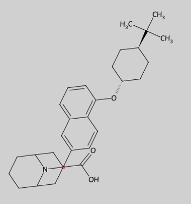 CC(C)(C)[C@H]1CC[C@H](Oc2cccc3cc(CN4C5CCCC4CC(C(=O)O)C5)ccc23)CC1